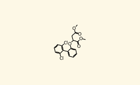 COC(=O)CC(Oc1ccccc1-c1c(Cl)cccc1Cl)C(=O)OC